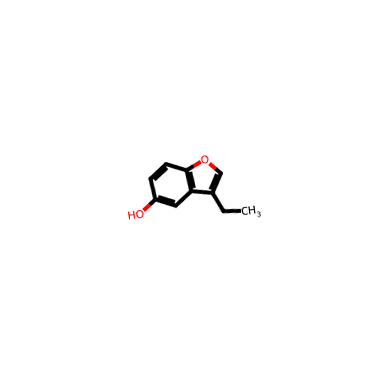 CCc1coc2ccc(O)cc12